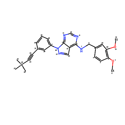 CCOc1ccc(CNc2ncnc3c2cnn3-c2cccc(C#C[Si](C)(C)C)c2)cc1OCC